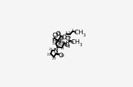 CCCCOC(=O)C(C)(CC)CC(CC(C)OC(C)=O)N1CCCC1=O